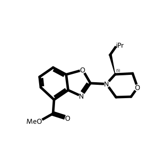 COC(=O)c1cccc2oc(N3CCOC[C@@H]3CC(C)C)nc12